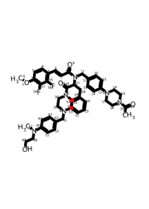 COc1ccc(C=CC(=O)N(Cc2ccc(N3CCN(C(C)=O)CC3)cc2)C(Cc2ccccc2)C(=O)N2CCN(Cc3ccc(N(C)CCO)cc3)CC2)c(F)c1F